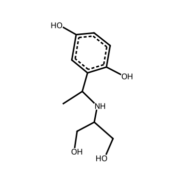 CC(NC(CO)CO)c1cc(O)ccc1O